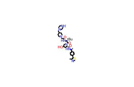 Cc1ncsc1-c1ccc([C@H](C)NC(=O)[C@@H]2C[C@@H](O)CN2C(=O)[C@@H](NC(=O)CN2CCC(CN3CCNCC3)CC2)C(C)(C)C)cc1